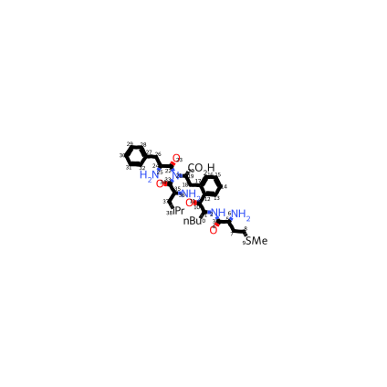 CCCCC(NC(=O)C(N)CCSC)C(=O)c1ccccc1CC(C(=O)O)N(C(=O)C(N)Cc1ccccc1)C(=O)C(N)CC(C)C